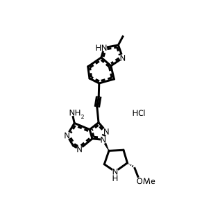 COC[C@H]1C[C@H](n2nc(C#Cc3ccc4[nH]c(C)nc4c3)c3c(N)ncnc32)CN1.Cl